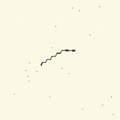 C#CC#CC/C=C/CCCCCC=C